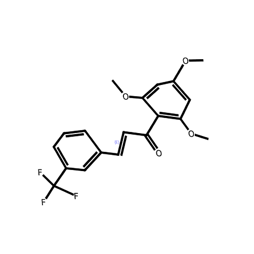 COc1cc(OC)c(C(=O)/C=C/c2cccc(C(F)(F)F)c2)c(OC)c1